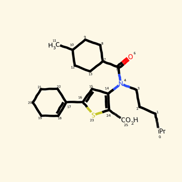 CC(C)CCCN(C(=O)C1CCC(C)CC1)c1cc(C2=CCCCC2)sc1C(=O)O